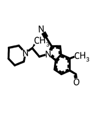 Cc1c(C=O)ccc2c1cc(C#N)n2C[C@H](C)N1CCCCC1